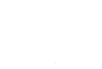 CCOC(C)(C)CC/C(C)=C/CCBr